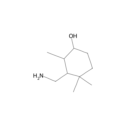 CC1C(O)CCC(C)(C)C1CN